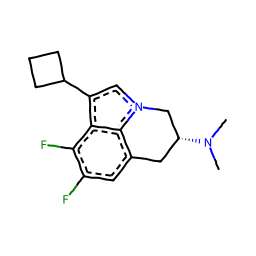 CN(C)[C@@H]1Cc2cc(F)c(F)c3c(C4CCC4)cn(c23)C1